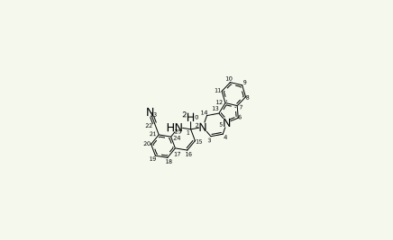 [2H]C1(N2C=Cn3cc4ccccc4c3C2)C=Cc2cccc(C#N)c2N1